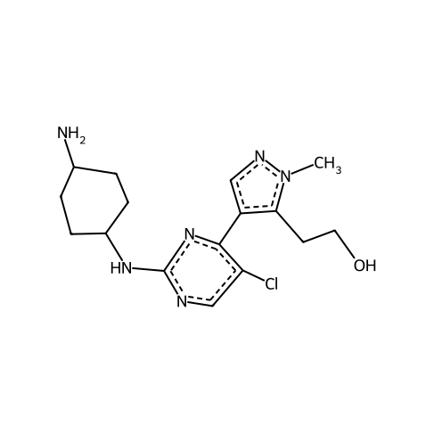 Cn1ncc(-c2nc(NC3CCC(N)CC3)ncc2Cl)c1CCO